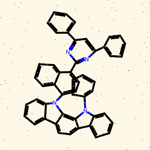 c1ccc(-c2cc(-c3ccccc3)nc(-c3ccc(-n4c5ccccc5c5ccc6c7ccccc7n(-c7ccccc7)c6c54)c4ccccc34)n2)cc1